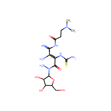 CN(C)CCC(=O)NC(=N)/C(N)=C(\NC(N)=S)C(=O)N(N)C1OC(CO)C(O)C1O